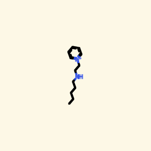 CCCCCNCC[n+]1ccccc1